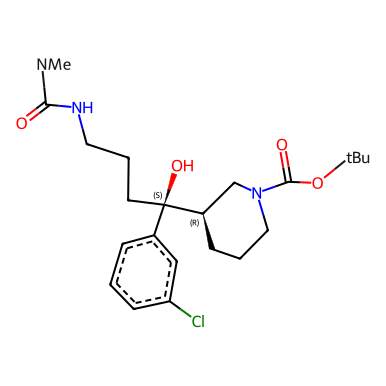 CNC(=O)NCCC[C@@](O)(c1cccc(Cl)c1)[C@@H]1CCCN(C(=O)OC(C)(C)C)C1